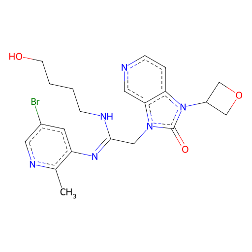 Cc1ncc(Br)cc1/N=C(/Cn1c(=O)n(C2COC2)c2ccncc21)NCCCCO